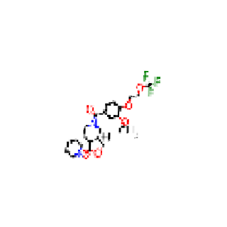 COc1cc(C(=O)N2CC[C@]3(c4ccccn4)C(=O)OC[C@@H]3C2)ccc1OCCOC(F)(F)F